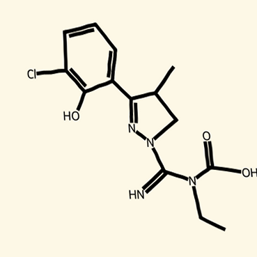 CCN(C(=N)N1CC(C)C(c2cccc(Cl)c2O)=N1)C(=O)O